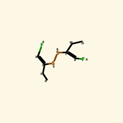 CCC(=CF)SSC(=CF)CC